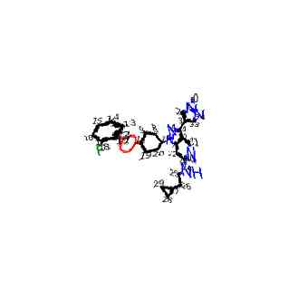 Cn1cc(-c2nn(C3CCC(Oc4ccccc4F)CC3)c3cc(NCCC4CC4)ncc23)cn1